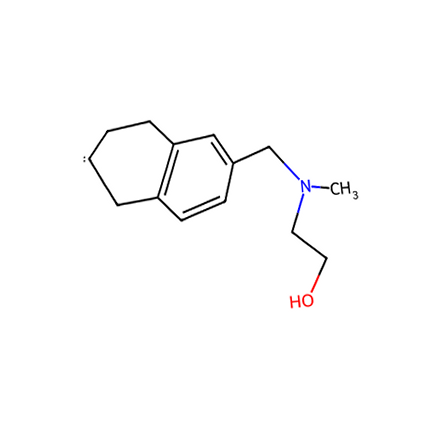 CN(CCO)Cc1ccc2c(c1)CC[C]C2